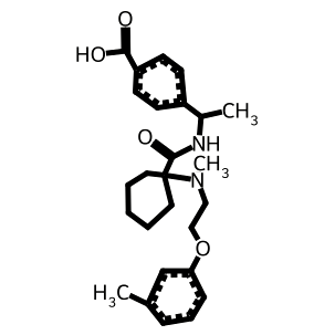 Cc1cccc(OCCN(C)C2(C(=O)NC(C)c3ccc(C(=O)O)cc3)CCCCC2)c1